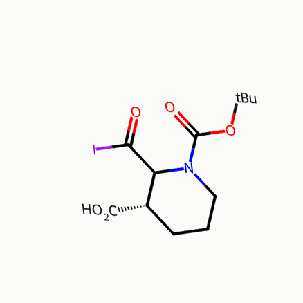 CC(C)(C)OC(=O)N1CCC[C@H](C(=O)O)C1C(=O)I